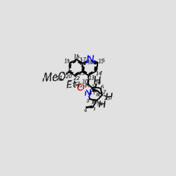 C=C[C@H]1CN2CC[C@H]1C[C@H]2[C@H](OCC)c1ccnc2ccc(OC)cc12